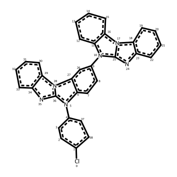 Clc1ccc(-n2c3ccc(-n4c5ccccc5n5c6ccccc6nc45)cc3n3c4ccccc4nc23)cc1